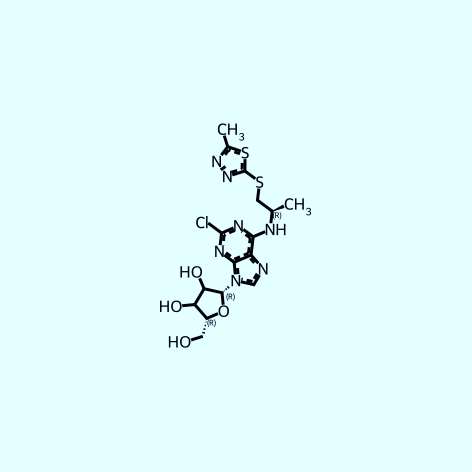 Cc1nnc(SC[C@@H](C)Nc2nc(Cl)nc3c2ncn3[C@@H]2O[C@H](CO)C(O)C2O)s1